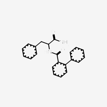 NC(=O)C(Cc1ccccc1)NC(=O)c1ccccc1-c1ccccc1